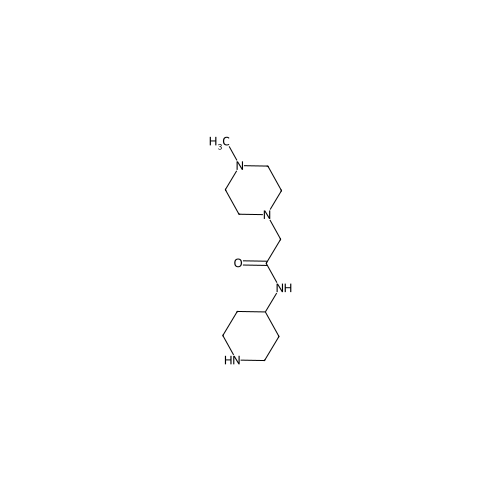 CN1CCN(CC(=O)NC2CCNCC2)CC1